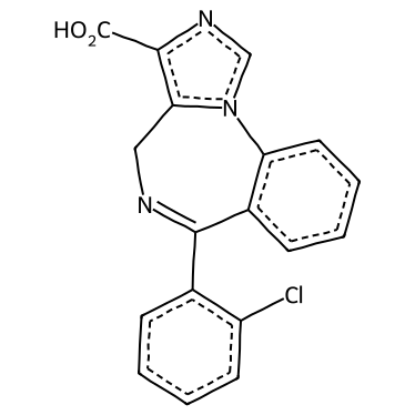 O=C(O)c1ncn2c1CN=C(c1ccccc1Cl)c1ccccc1-2